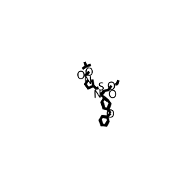 CCOC(=O)c1sc(C2CCN(C(=O)OC(C)(C)C)C2)nc1-c1ccc(Oc2ccccc2)cc1